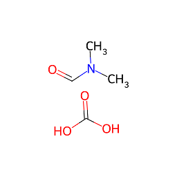 CN(C)C=O.O=C(O)O